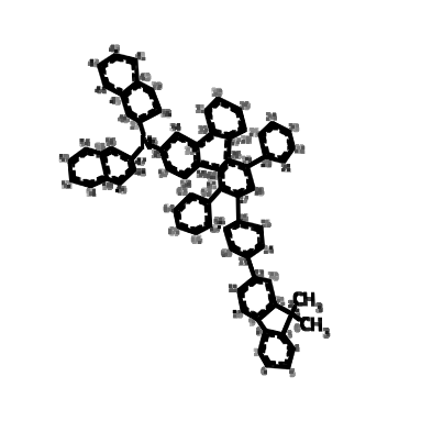 CC1(C)c2ccccc2-c2ccc(-c3ccc(-c4cc(-c5ccccc5)c5c6ccccc6c6cc(N(c7ccc8ccccc8c7)c7ccc8ccccc8c7)ccc6c5c4-c4ccccc4)cc3)cc21